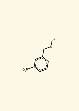 CC(C)(C)SCc1cccc([N+](=O)[O-])c1